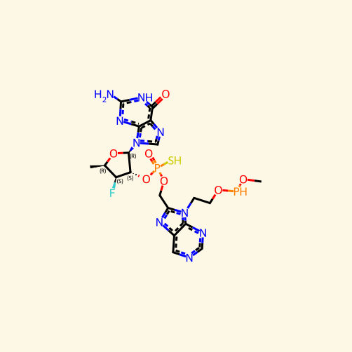 COPOCCn1c(COP(=O)(S)O[C@@H]2[C@@H](F)[C@@H](C)O[C@H]2n2cnc3c(=O)[nH]c(N)nc32)nc2cncnc21